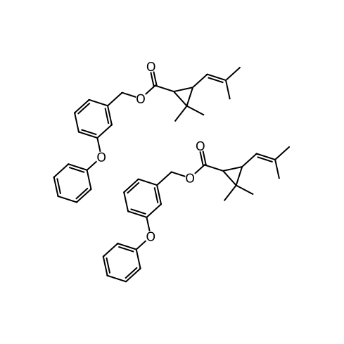 CC(C)=CC1C(C(=O)OCc2cccc(Oc3ccccc3)c2)C1(C)C.CC(C)=CC1C(C(=O)OCc2cccc(Oc3ccccc3)c2)C1(C)C